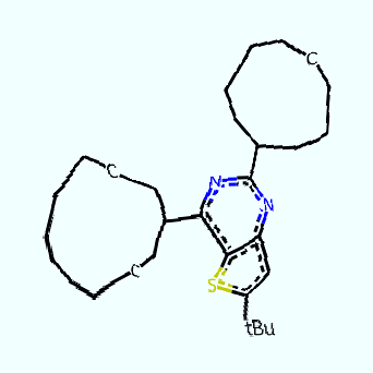 CC(C)(C)c1cc2nc(C3CCCCCCCC3)nc(C3CCCCCCCCCC3)c2s1